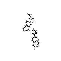 C[C@@H]1C2(CC2)C[C@@]1(C#N)c1ccc2cnn(-c3cc(N4CCN5CCOC[C@@H]5C4)ncn3)c2c1